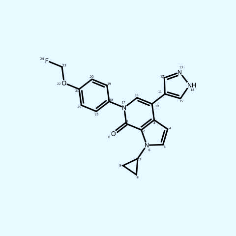 O=c1c2c(ccn2C2CC2)c(-c2cn[nH]c2)cn1-c1ccc(OCF)cc1